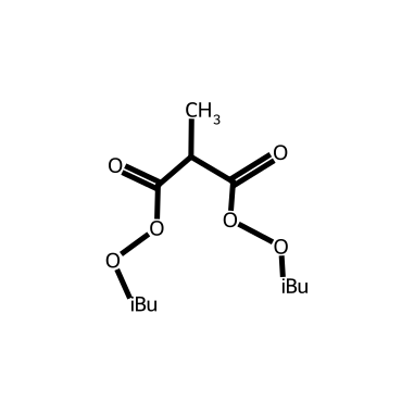 CCC(C)OOC(=O)C(C)C(=O)OOC(C)CC